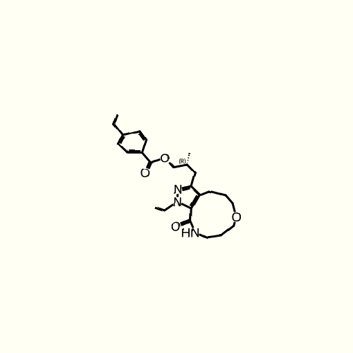 CCc1ccc(C(=O)OC[C@H](C)Cc2nn(CC)c3c2CCCOCCCNC3=O)cc1